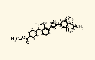 CCOC(=O)C1CCN(Cc2cccc(-c3cnc(-c4ccc(OC(C)C)c(C)c4)s3)c2CC)CC1